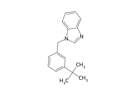 CC(C)(C)c1cccc(Cn2cnc3ccccc32)c1